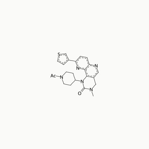 CC(=O)N1CCC(N2C(=O)N(C)Cc3cnc4ccc(-c5ccsc5)nc4c32)CC1